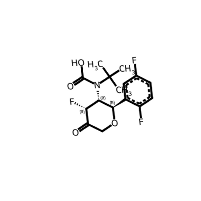 CC(C)(C)N(C(=O)O)[C@@H]1[C@@H](c2cc(F)ccc2F)OCC(=O)[C@@H]1F